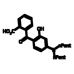 CCCCCN(CCCCC)c1ccc(C(=O)c2ccccc2C(=O)O)c(O)c1